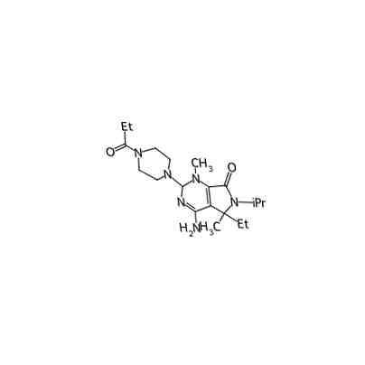 CCC(=O)N1CCN(C2N=C(N)C3=C(C(=O)N(C(C)C)C3(C)CC)N2C)CC1